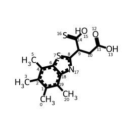 Cc1c(C)c(C)c2sc(C(CC(=O)O)C(O)=S)nc2c1C